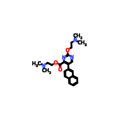 CN(C)CCOC(=O)c1nc(OCCN(C)C)ncc1-c1ccc2ccccc2c1